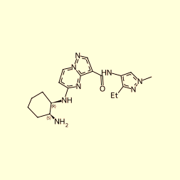 CCc1nn(C)cc1NC(=O)c1cnn2ccc(N[C@@H]3CCCC[C@@H]3N)nc12